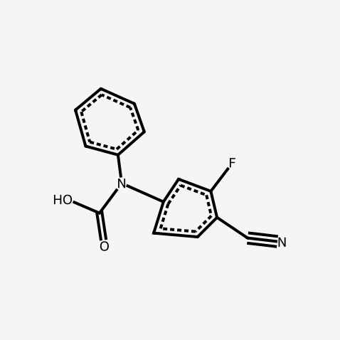 N#Cc1ccc(N(C(=O)O)c2ccccc2)cc1F